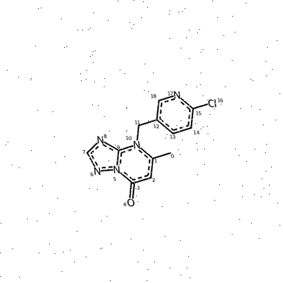 Cc1cc(=O)n2ncnc2n1Cc1ccc(Cl)nc1